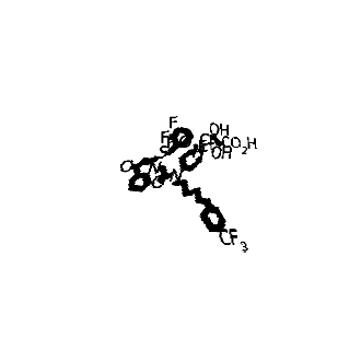 CCN1CCC(N(CCCCCCc2ccc(C(F)(F)F)cc2)C(=O)Cn2c(SCc3cccc(F)c3F)cc(=O)c3ccccc32)CC1.O=C(O)C(O)C(O)C(=O)O